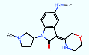 CC(=O)N1CC[C@H](N2C(=O)/C(=C3/COCCN3)c3cc(NC(C)C)ccc32)C1